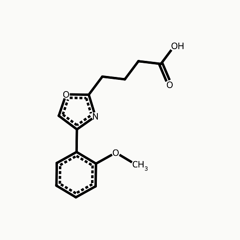 COc1ccccc1-c1coc(CCCC(=O)O)n1